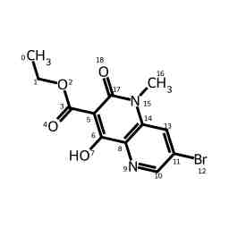 CCOC(=O)c1c(O)c2ncc(Br)cc2n(C)c1=O